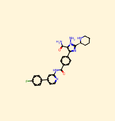 NC(=O)c1c(-c2ccc(C(=O)Nc3cc(-c4ccc(F)cc4)ccn3)cc2)nc([C@@H]2CCCCN2)n1N